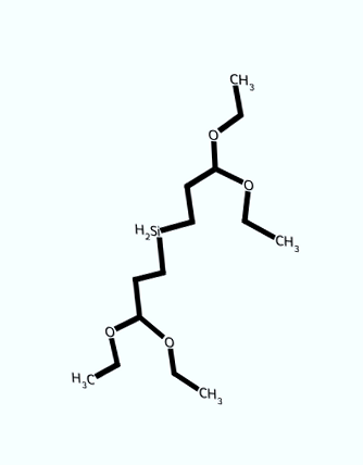 CCOC(CC[SiH2]CCC(OCC)OCC)OCC